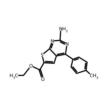 CCOC(=O)c1cc2c(-c3ccc(C)cc3)nc(N)nc2s1